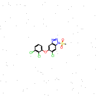 CS(=O)(=O)n1nnc2cc(Oc3cccc(Cl)c3Cl)c(Cl)cc21